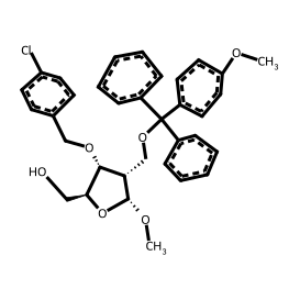 COc1ccc(C(OC[C@@H]2[C@H](OC)O[C@@H](CO)[C@@H]2OCc2ccc(Cl)cc2)(c2ccccc2)c2ccccc2)cc1